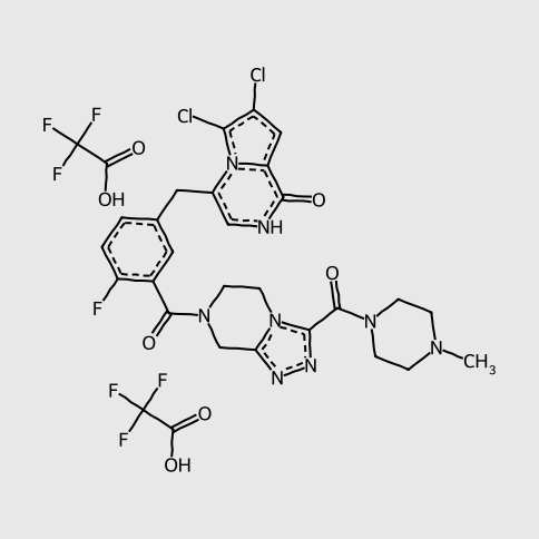 CN1CCN(C(=O)c2nnc3n2CCN(C(=O)c2cc(Cc4c[nH]c(=O)c5cc(Cl)c(Cl)n45)ccc2F)C3)CC1.O=C(O)C(F)(F)F.O=C(O)C(F)(F)F